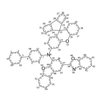 c1ccc(-c2ccc(N(c3ccc4c(c3)Oc3ccccc3C43c4ccccc4-c4ccccc43)c3cc(-c4nc5ccccc5o4)cc4c3oc3ccccc34)cc2)cc1